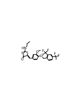 CCCNC1=NC(=O)C(=Cc2ccc(OCc3ccc(C(F)(F)F)cc3C(F)(F)F)c(OC)c2)S1